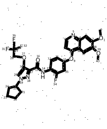 COc1cc2nccc(Oc3ccc(NC(=O)c4nn(C5CCCC5)cc4OCC(F)(F)F)c(F)c3)c2cc1OC